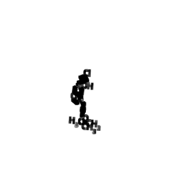 CC(C)(C)OCC#CCN1CCOC2(CCN(CC3(O)CC(Cl)C3)CC2)C1